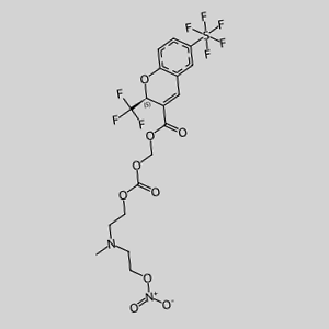 CN(CCOC(=O)OCOC(=O)C1=Cc2cc(S(F)(F)(F)(F)F)ccc2O[C@@H]1C(F)(F)F)CCO[N+](=O)[O-]